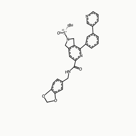 CC(C)(C)[S@@+]([O-])N1Cc2cc(C(=O)NCc3ccc4c(c3)OCO4)nc(-c3cccc(-c4cccnc4)c3)c2C1